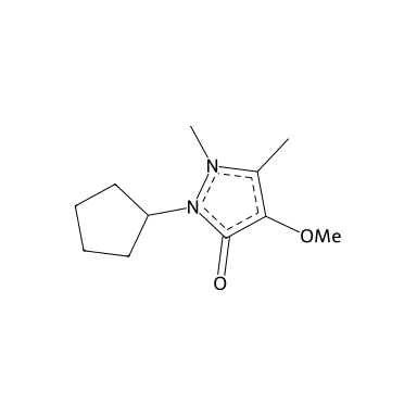 COc1c(C)n(C)n(C2CCCC2)c1=O